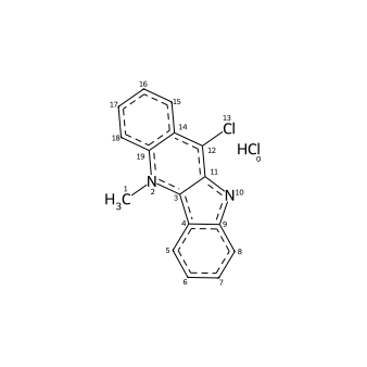 Cl.Cn1c2c3ccccc3nc-2c(Cl)c2ccccc21